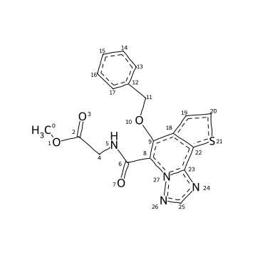 COC(=O)CNC(=O)c1c(OCc2ccccc2)c2ccsc2c2ncnn12